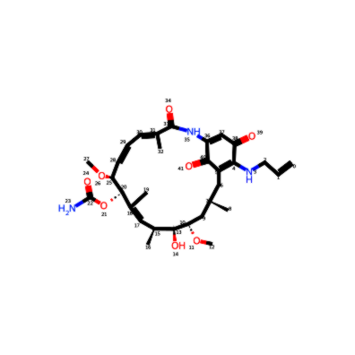 C=CCNC1=C2C[C@@H](C)C[C@H](OC)[C@@H](O)[C@@H](C)/C=C(\C)[C@H](OC(N)=O)[C@@H](OC)/C=C\C=C(/C)C(=O)NC(=CC1=O)C2=O